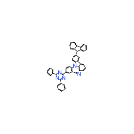 N#Cc1cc(-c2nc(-c3ccccc3)nc(-c3ccccc3)n2)ccc1-n1c2ccccc2c2cc(C3c4ccccc4-c4ccccc43)ccc21